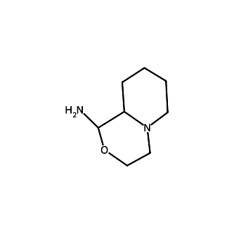 NC1OCCN2CCCCC12